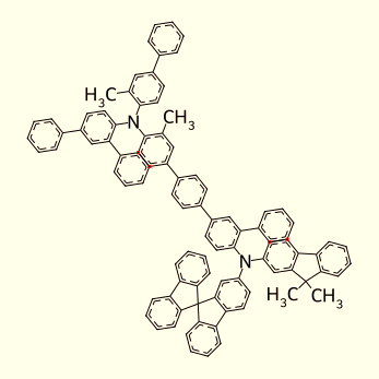 Cc1cc(-c2ccccc2)ccc1N(c1ccc(-c2ccc(-c3ccc(N(c4ccc5c(c4)C(C)(C)c4ccccc4-5)c4ccc5c(c4)C4(c6ccccc6-c6ccccc64)c4ccccc4-5)c(-c4ccccc4)c3)cc2)cc1C)c1ccc(-c2ccccc2)cc1-c1ccccc1